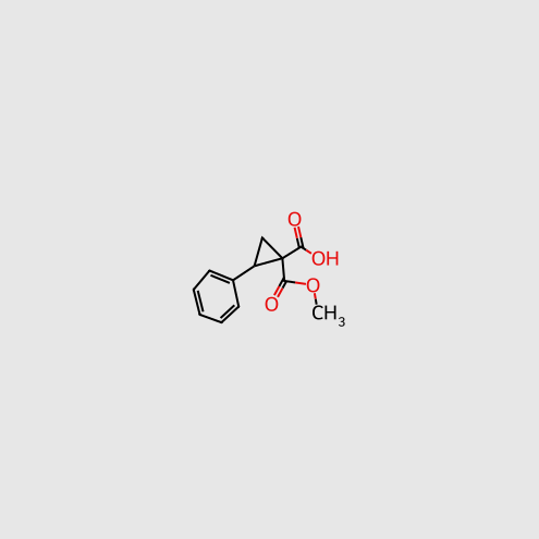 COC(=O)C1(C(=O)O)CC1c1ccccc1